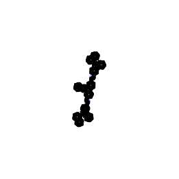 C(=C\c1ccc2c(c1)c1ccccc1n2-c1cccc2ccccc12)/c1ccc2c(c1)C1(Cc3ccccc3C1)c1cc(/C=C/c3ccc4c(c3)c3ccccc3n4-c3cccc4ccccc34)ccc1-2